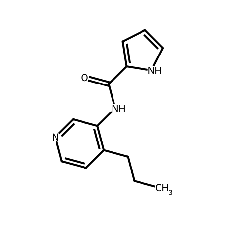 CCCc1ccncc1NC(=O)c1ccc[nH]1